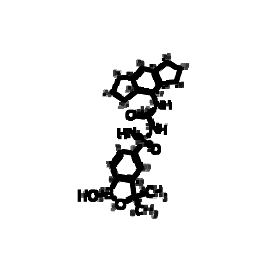 CC1(C)OB(O)c2ccc(S(=N)(=O)NC(=O)Nc3c4c(cc5c3CCC5)CCC4)cc21